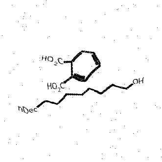 CCCCCCCCCCCCCCCCCCO.O=C(O)c1ccccc1C(=O)O